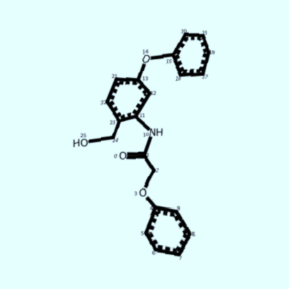 O=C(COc1ccccc1)Nc1cc(Oc2ccccc2)ccc1CO